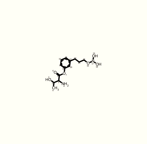 CC(O)C(N)C(=O)Oc1cccc(CCCON(O)O)c1